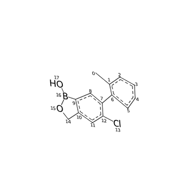 Cc1ccccc1-c1cc2c(cc1Cl)COB2O